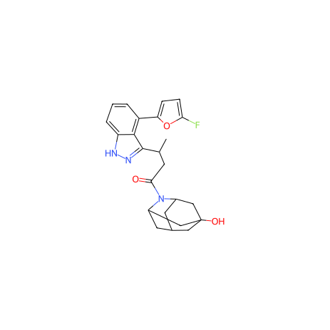 CC(CC(=O)N1C2CC3CC1CC(O)(C3)C2)c1n[nH]c2cccc(-c3ccc(F)o3)c12